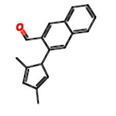 CC1=CC(c2cc3ccccc3cc2C=O)C(C)=C1